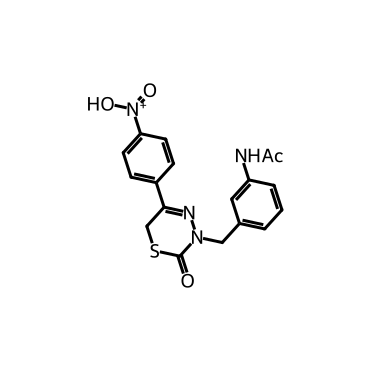 CC(=O)Nc1cccc(CN2N=C(c3ccc([N+](=O)O)cc3)CSC2=O)c1